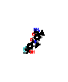 C[C@](O)(c1ccc(C(=O)N(C2CC2)C2CCC(CC(N)=O)(C3CC3)CC2)cc1)C(F)(F)F